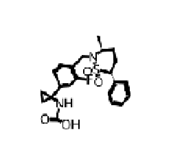 C[C@H]1CC[C@H](c2ccccc2)S(=O)(=O)N1Cc1ccc(C2(NC(=O)O)CC2)cc1F